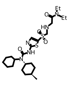 CCN(CC)C(=O)CNCS(=O)(=O)c1cnc(NC(=O)N(C2CCCCC2)[C@H]2CC[C@H](C)CC2)s1